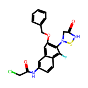 O=C1CN(c2c(OCc3ccccc3)cc3cc(NC(=O)CCl)ccc3c2F)SN1